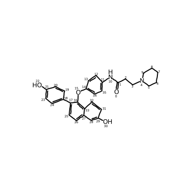 O=C(CCN1CCCCC1)Nc1ccc(Oc2c(-c3ccc(O)cc3)ccc3cc(O)ccc23)cc1